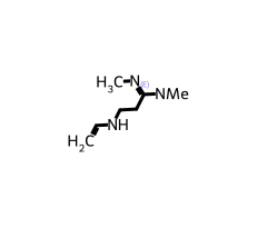 C=CNCC/C(=N\C)NC